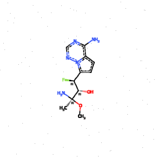 CO[C@@](C)(N)[C@@H](O)[C@@H](F)c1ccc2c(N)ncnn12